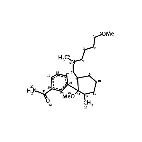 COCCCCN(C)CC1CCCC(C)C1(OC)c1cccc(C(N)=O)c1